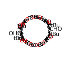 CC(C)(C)CC1CC(C=O)CC(C(C)(C)C)C(=O)CCCOCCOCCOCCOC(=O)C(C(C)(C)C)CC(C=O)CC(CC(C)(C)C)C(=O)OCCOCCOCCOCCCC1=O